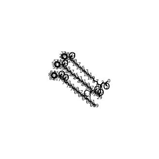 CC(=O)CC(C)CCCCCCCCCCCCCCCC(=O)c1ccccc1.CC(=O)CC(Cl)C(Cl)CCCCCCCCCCCCCCC(=O)c1ccccc1.CCCCCCCCCCCCCCCCC(=O)CC(=O)c1ccccc1